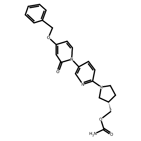 NC(=O)OC[C@H]1CCN(c2ccc(-n3ccc(OCc4ccccc4)cc3=O)cn2)C1